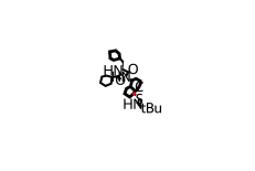 CC(C)(C)NSc1cccc2c(NC(=O)[C@H](Cc3ccccc3)NC(=O)C3CCCCC3)cccc12